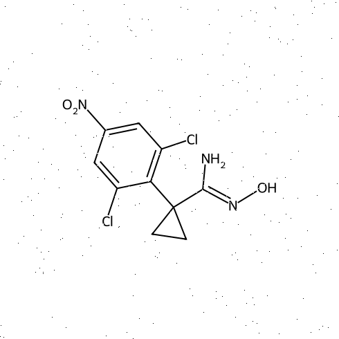 N/C(=N\O)C1(c2c(Cl)cc([N+](=O)[O-])cc2Cl)CC1